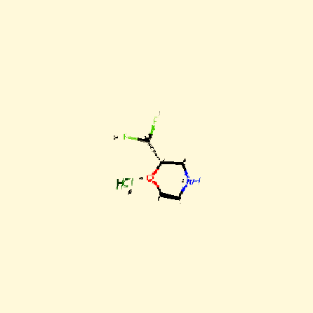 Cl.FC(F)[C@@H]1CNCCO1